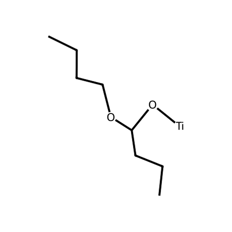 CCCCOC(CCC)[O][Ti]